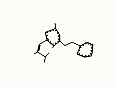 CCOC(=O)C1=Cc2cc(Cl)cc(CCc3ccccc3)c2OC1C(F)(F)F